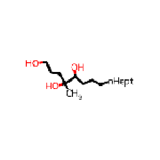 CCCCCCCCCCC(O)C(C)(O)CCCO